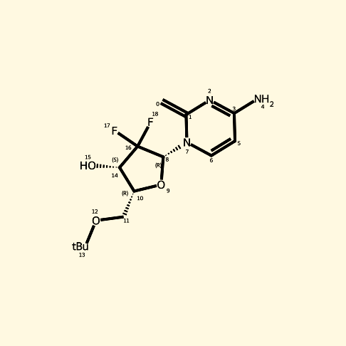 C=C1N=C(N)C=CN1[C@@H]1O[C@H](COC(C)(C)C)[C@H](O)C1(F)F